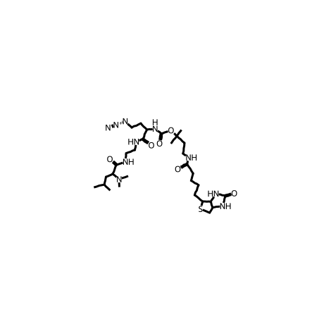 CC(C)CC(C(=O)NCCNC(=O)C(CCN=[N+]=[N-])NC(=O)OC(C)(C)CCNC(=O)CCCCC1SCC2NC(=O)NC21)N(C)C